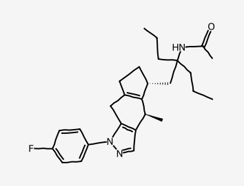 CCCC(CCC)(C[C@H]1CCC2=C1[C@@H](C)c1cnn(-c3ccc(F)cc3)c1C2)NC(C)=O